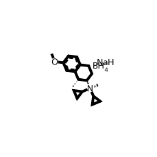 COc1ccc2c(c1)[C@@H](C)[C@@H]([N+](C)(C1CC1)C1CC1)CC2.[BH4-].[NaH]